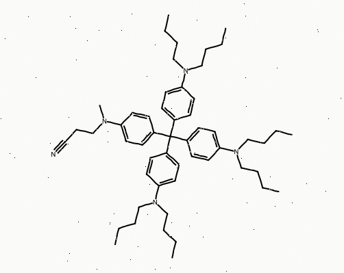 CCCCN(CCCC)c1ccc(C(c2ccc(N(C)CCC#N)cc2)(c2ccc(N(CCCC)CCCC)cc2)c2ccc(N(CCCC)CCCC)cc2)cc1